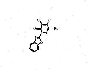 CC[C@@H](C)c1nn(-c2nc3ccccc3s2)c(=O)c(Cl)c1Cl